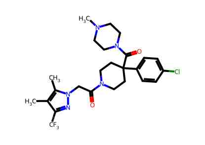 Cc1c(C(F)(F)F)nn(CC(=O)N2CCC(C(=O)N3CCN(C)CC3)(c3ccc(Cl)cc3)CC2)c1C